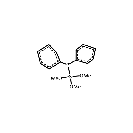 CO[Si](OC)(OC)P(c1ccccc1)c1ccccc1